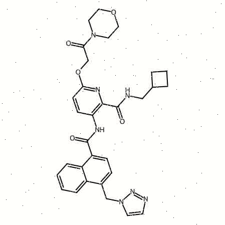 O=C(NCC1CCC1)c1nc(OCC(=O)N2CCOCC2)ccc1NC(=O)c1ccc(Cn2ccnn2)c2ccccc12